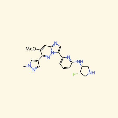 COc1cc2ncc(-c3cccc(N[C@H]4CNC[C@@H]4F)n3)n2nc1-c1cnn(C)c1